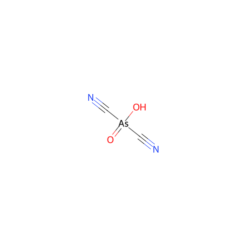 N#C[As](=O)(O)C#N